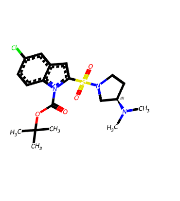 CN(C)[C@@H]1CCN(S(=O)(=O)c2cc3cc(Cl)ccc3n2C(=O)OC(C)(C)C)C1